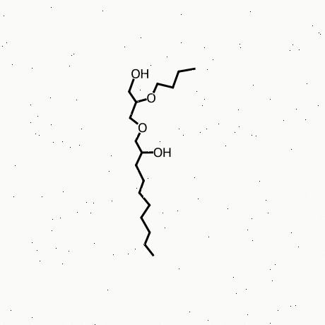 CCCCCCCCC(O)COCC(CO)OCCCC